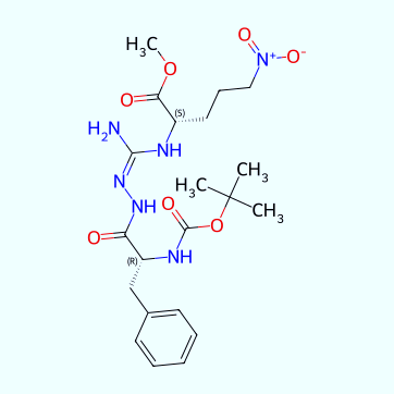 COC(=O)[C@H](CCC[N+](=O)[O-])NC(N)=NNC(=O)[C@@H](Cc1ccccc1)NC(=O)OC(C)(C)C